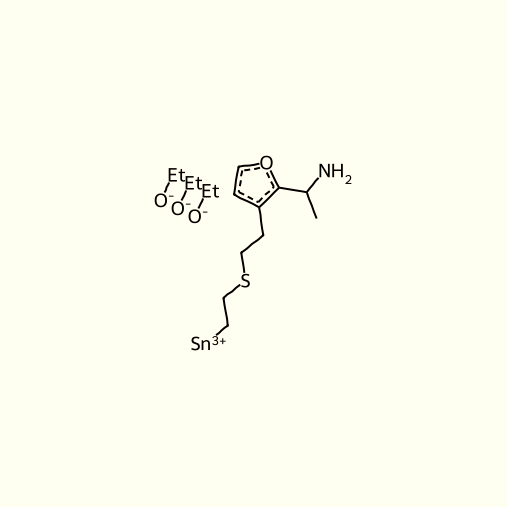 CC(N)c1occc1CCSC[CH2][Sn+3].CC[O-].CC[O-].CC[O-]